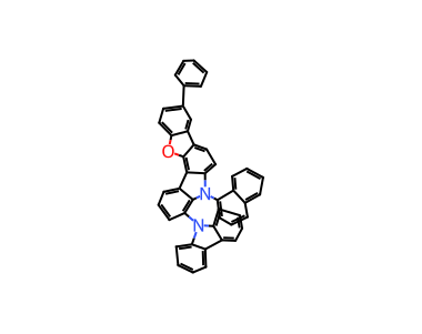 c1ccc(-c2ccc3oc4c(ccc5c4c4cccc(-n6c7ccccc7c7ccccc76)c4n5-c4cccc5ccccc45)c3c2)cc1